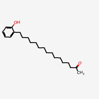 CC(=O)CCCCCCCCCCCCCCc1ccccc1O